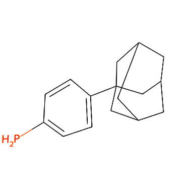 Pc1ccc(C23CC4CC(CC(C4)C2)C3)cc1